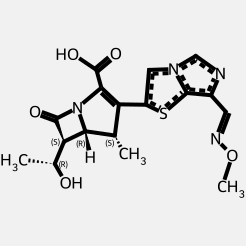 CON=Cc1ncn2cc(C3=C(C(=O)O)N4C(=O)[C@H]([C@@H](C)O)[C@H]4[C@H]3C)sc12